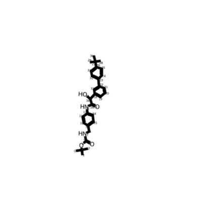 CC(C)(C)OC(=O)NCc1ccc(NC(=O)C(O)c2cccc(-c3ccc(C(C)(C)C)cc3)c2)cc1